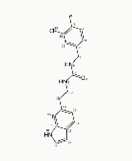 Cc1ccc(CNC(=O)NCCc2ccc3cc[nH]c3n2)cc1Cl